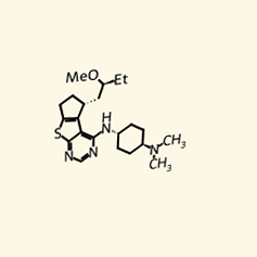 CC[C@@H](C[C@H]1CCc2sc3ncnc(N[C@H]4CC[C@H](N(C)C)CC4)c3c21)OC